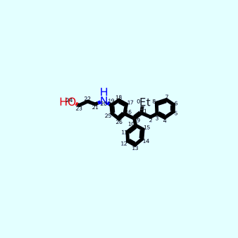 CCC(Cc1ccccc1)=C(c1ccccc1)c1ccc(NCCCO)cc1